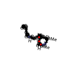 COc1cc2cc(c1Cl)N(C)C(=O)C[C@H](OC(=O)[C@H](C)N(C)C(=O)CCSSC(C)(C)CC(=O)N/N=C(\C)c1ccc(OCCCC(=O)ON3C(=O)CCC3=O)cc1O)C(C)(O)C[C@H](C)[C@@H]1C[C@@](O)(NC(=O)O1)[C@H](OC)/C=C/C=C(\C)C2